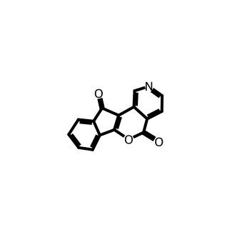 O=C1c2ccccc2-c2oc(=O)c3ccncc3c21